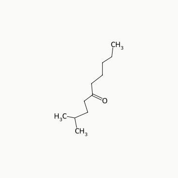 CCCCCC(=O)CCC(C)C